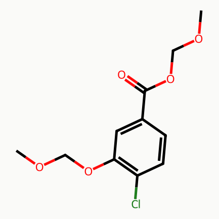 COCOC(=O)c1ccc(Cl)c(OCOC)c1